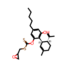 C=C(C)[C@@H]1CCC(C)=C[C@H]1c1c(O)cc(CCCCC)cc1OC(=S)SCC1CO1